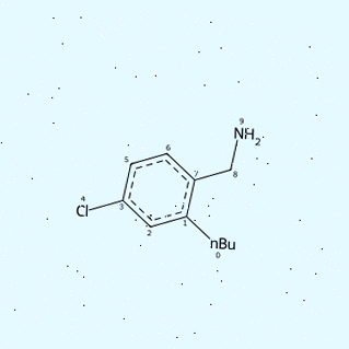 CCCCc1cc(Cl)ccc1CN